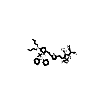 [C-]#[N+]C1=C(/C=C/c2ccc(/C=C/c3ccc(N(CCCC)CCCC)cc3O[Si](c3ccccc3)(c3ccccc3)C(C)(C)C)s2)C(C)(C(F)(F)F)OC1=C(C#N)C#N